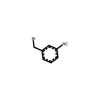 [C-]#[N+]c1cccc(CBr)c1